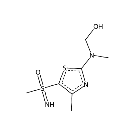 Cc1nc(N(C)CO)sc1S(C)(=N)=O